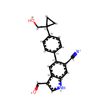 N#Cc1cc2[nH]cc(C=O)c2cc1-c1ccc(C2(CO)CC2)cc1